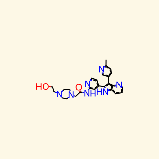 Cc1ccc(-c2c(-c3ccnc(NC(=O)CN4CCN(CCO)CC4)c3)[nH]c3cccnc23)cn1